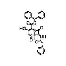 O=C(Cc1ccccc1)NC1C(=O)N2C(C(=O)OC(c3ccccc3)c3ccccc3)=C(O)C[S+]([O-])[C@@H]12